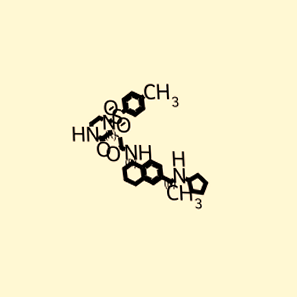 Cc1ccc(S(=O)(=O)N2CCNC(=O)[C@H]2CC(=O)N[C@@H]2CCCc3cc([C@@H](C)NC4CCCC4)ccc32)cc1